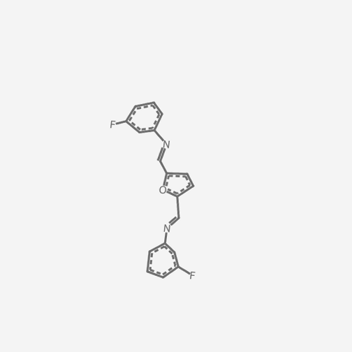 Fc1cccc(N=Cc2ccc(C=Nc3cccc(F)c3)o2)c1